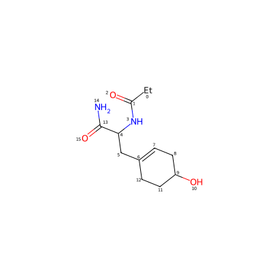 CCC(=O)NC(CC1=CCC(O)CC1)C(N)=O